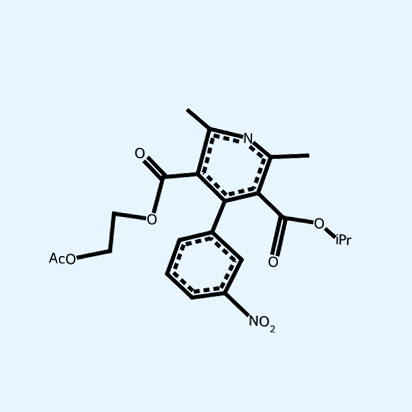 CC(=O)OCCOC(=O)c1c(C)nc(C)c(C(=O)OC(C)C)c1-c1cccc([N+](=O)[O-])c1